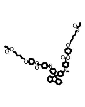 C=CC(=O)OCCCCCCOc1ccc(OC(=O)c2ccc(N(C)c3ccc(C4(c5ccc(N(C)c6ccc(C(=O)Oc7ccc(OCCCCCCOC(=O)C=C)cc7)cc6)cc5)c5ccccc5-c5ccccc54)cc3)cc2)cc1